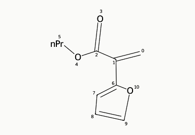 C=C(C(=O)OCCC)c1ccco1